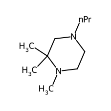 CCCN1CCN(C)C(C)(C)C1